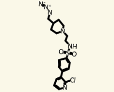 [N-]=[N+]=NCC1CCN(CCNS(=O)(=O)c2ccc(-c3cccnc3Cl)cc2)CC1